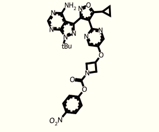 CC(C)(C)n1nc(-c2noc(C3CC3)c2-c2ncc(OC3CN(C(=O)Oc4ccc([N+](=O)[O-])cc4)C3)cn2)c2c(N)ncnc21